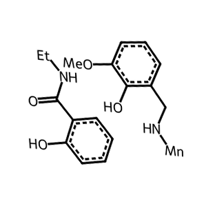 CCNC(=O)c1ccccc1O.COc1cccc(C[NH][Mn])c1O